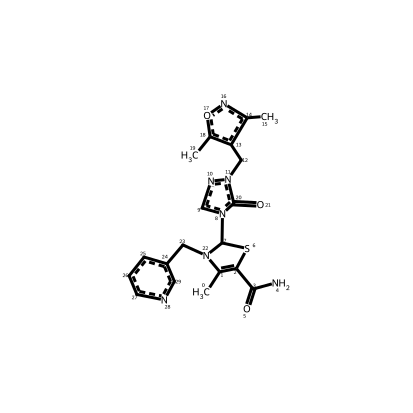 CC1=C(C(N)=O)SC(n2cnn(Cc3c(C)noc3C)c2=O)N1Cc1cccnc1